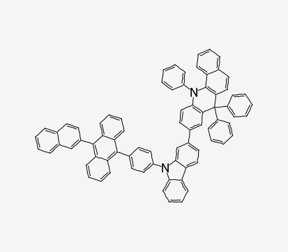 c1ccc(N2c3ccc(-c4ccc5c6ccccc6n(-c6ccc(-c7c8ccccc8c(-c8ccc9ccccc9c8)c8ccccc78)cc6)c5c4)cc3C(c3ccccc3)(c3ccccc3)c3ccc4ccccc4c32)cc1